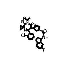 Cc1nnc2n1-c1sc3c(c1C(c1ccccc1Cl)=NC21CC1)C[C@H](C1OC1NC1CCc2ccc(F)cc21)C3